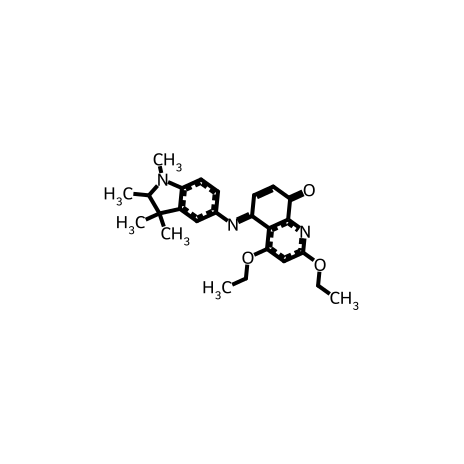 CCOc1cc(OCC)c2c(n1)C(=O)C=CC2=Nc1ccc2c(c1)C(C)(C)C(C)N2C